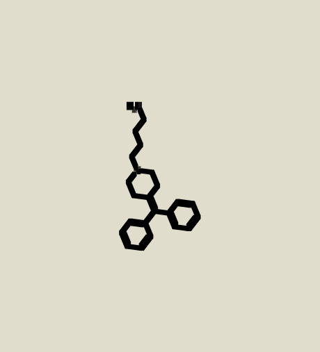 NCCCCN1CCC(=C(c2ccccc2)c2ccccc2)CC1